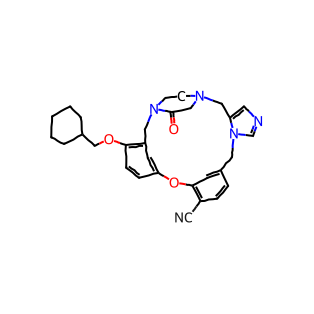 N#Cc1ccc2cc1Oc1ccc(OCC3CCCCC3)c(c1)CN1CCN(CC1=O)Cc1cncn1C2